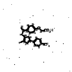 Cc1nc(-c2ccc(C(F)(F)F)cc2)sc1CN(C)c1ccc(OCC(=O)O)cc1